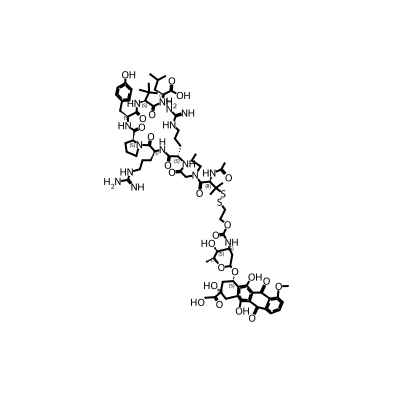 CCCN(CC(=O)N[C@@H](CCCNC(=N)N)C(=O)N[C@@H](CCCNC(=N)N)C(=O)N1CCC[C@H]1C(=O)N[C@@H](Cc1ccc(O)cc1)C(=O)N[C@H](C(=O)N[C@@H](CC(C)C)C(=O)O)C(C)(C)C)C(=O)[C@@H](NC(C)=O)C(C)(C)SSCCOC(=O)N[C@H]1CC(O[C@H]2C[C@](O)(C(=O)CO)Cc3c(O)c4c(c(O)c32)C(=O)c2c(OC)cccc2C4=O)O[C@@H](C)[C@H]1O